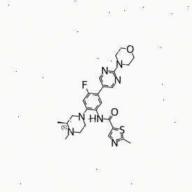 Cc1ncc(C(=O)Nc2cc(-c3cnc(N4CCOCC4)nc3)c(F)cc2N2CCN(C)[C@@H](C)C2)s1